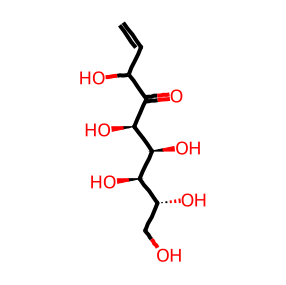 C=CC(O)C(=O)[C@H](O)[C@@H](O)[C@H](O)[C@H](O)CO